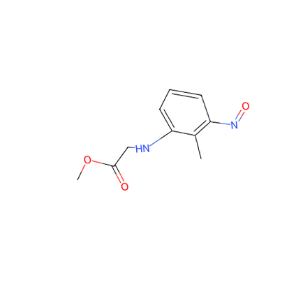 COC(=O)CNc1cccc(N=O)c1C